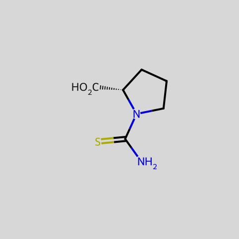 NC(=S)N1CCC[C@H]1C(=O)O